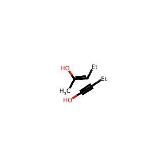 CCC#CO.CCC=C(C)O